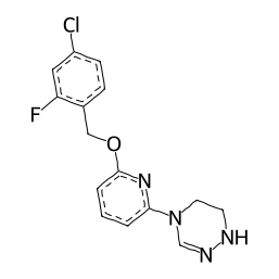 Fc1cc(Cl)ccc1COc1cccc(N2C=NNCC2)n1